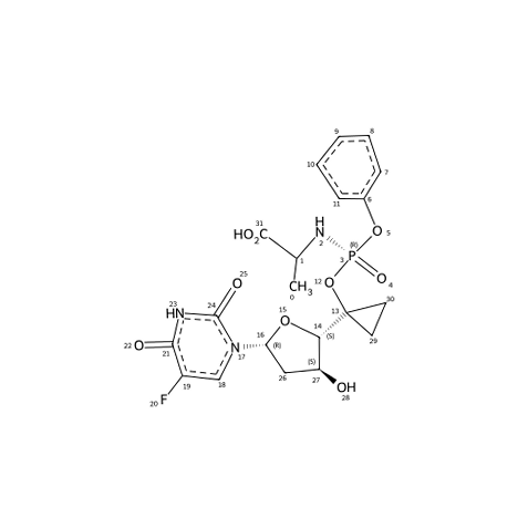 CC(N[P@@](=O)(Oc1ccccc1)OC1([C@H]2O[C@@H](n3cc(F)c(=O)[nH]c3=O)C[C@@H]2O)CC1)C(=O)O